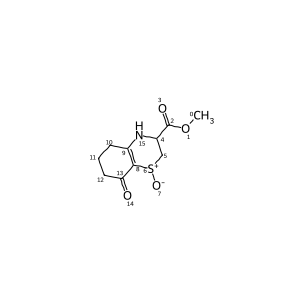 COC(=O)C1C[S+]([O-])C2=C(CCCC2=O)N1